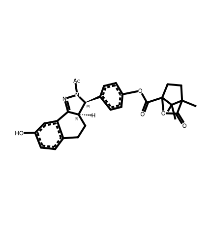 CC(=O)N1N=C2c3cc(O)ccc3CC[C@@H]2[C@@H]1c1ccc(OC(=O)C23CCC(C)(C(=O)O2)C3(C)C)cc1